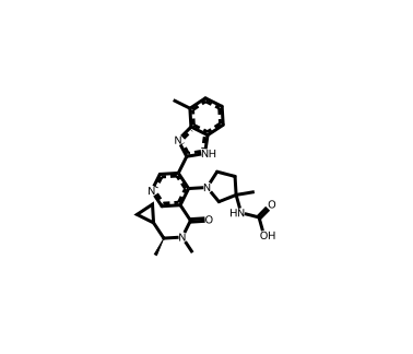 Cc1cccc2[nH]c(-c3cncc(C(=O)N(C)[C@@H](C)C4CC4)c3N3CCC(C)(NC(=O)O)C3)nc12